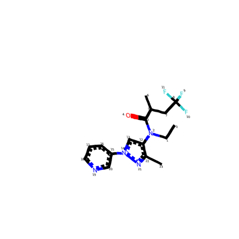 CCN(C(=O)C(C)CC(F)(F)F)c1cn(-c2cccnc2)nc1C